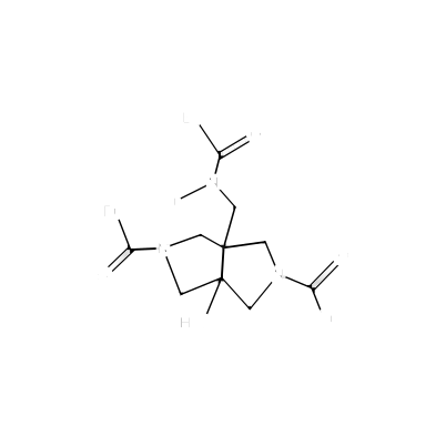 CCC(=O)N(CC)CC12CN(C(=O)CC)CC1(C)CN(C(=O)CC)C2